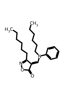 CCCCCCC1=NOC(=O)C1=CN(CCCCCC)c1ccccc1